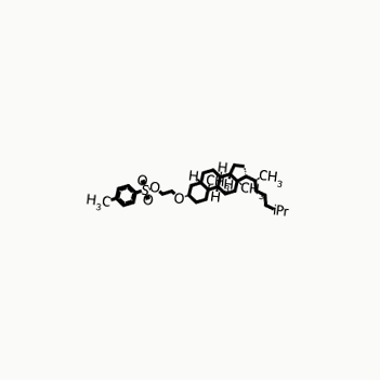 Cc1ccc(S(=O)(=O)OCCO[C@H]2CC[C@@]3(C)[C@@H](CC[C@@H]4[C@@H]3CC[C@]3(C)[C@@H]([C@H](C)CCCC(C)C)CC[C@@H]43)C2)cc1